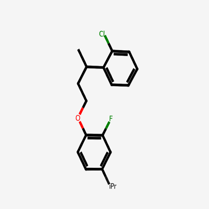 CC(C)c1ccc(OCCC(C)c2ccccc2Cl)c(F)c1